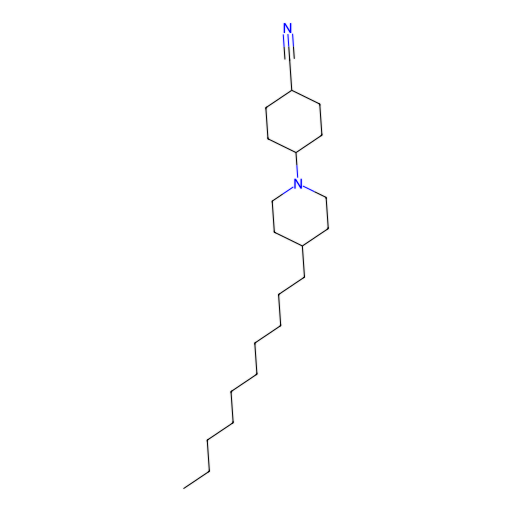 CCCCCCCCCCC1CCN(C2CCC(C#N)CC2)CC1